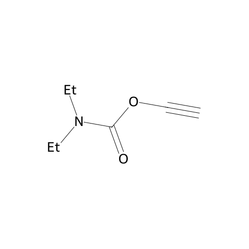 C#COC(=O)N(CC)CC